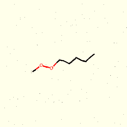 [C]OO[C]CCCC